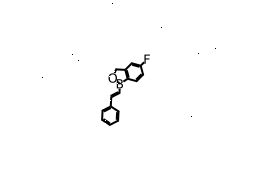 Fc1ccc2c(c1)COB2C=Cc1ccccc1